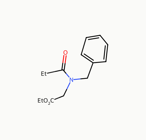 [CH2]CC(=O)N(CC(=O)OCC)Cc1ccccc1